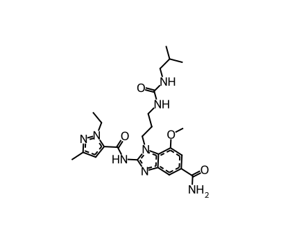 CCn1nc(C)cc1C(=O)Nc1nc2cc(C(N)=O)cc(OC)c2n1CCCNC(=O)NCC(C)C